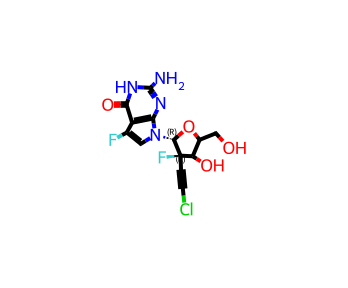 Nc1nc2c(c(F)cn2[C@@H]2OC(CO)C(O)[C@]2(F)C#CCl)c(=O)[nH]1